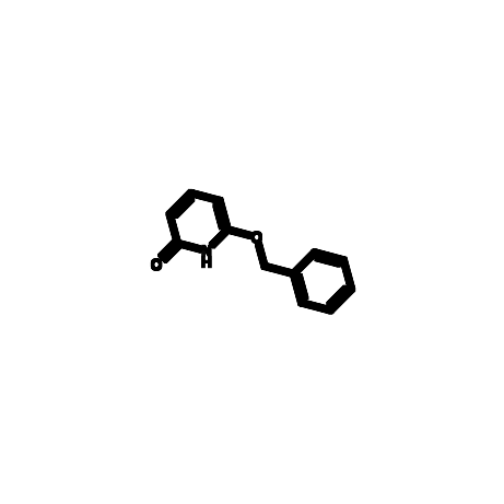 O=c1cccc(OCc2ccccc2)[nH]1